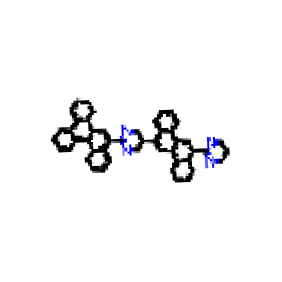 c1cnc(-c2cc3c4ccccc4c(-c4cnc(-c5cc6c7ccccc7c7ccccc7c6c6ccccc56)nc4)cc3c3ccccc23)nc1